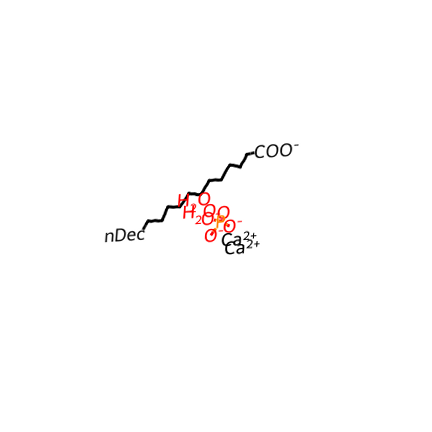 CCCCCCCCCCCCCCCCCCCCCC(=O)[O-].O.O.O=P([O-])([O-])[O-].[Ca+2].[Ca+2]